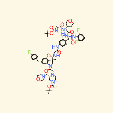 C[C@@H]1COCCN1C[C@H]1CN(C(=O)OC(C)(C)C)[C@@H](C)CN1CC(=O)N1C[C@@](C)(C(=O)NCC(=O)Nc2ccc3c(c2)CN(C(=O)[C@@H](NC(=O)[C@H](C)N(C)C(=O)OC(C)(C)C)C2CCOCC2)[C@@H]3C(=O)Nc2c(F)cccc2F)c2ccc(Cc3ccc(F)cc3)cc21